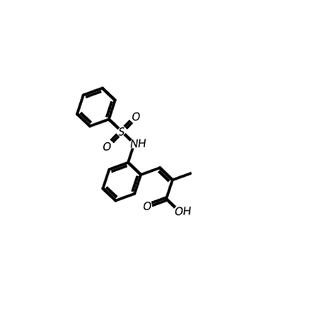 CC(=Cc1ccccc1NS(=O)(=O)c1ccccc1)C(=O)O